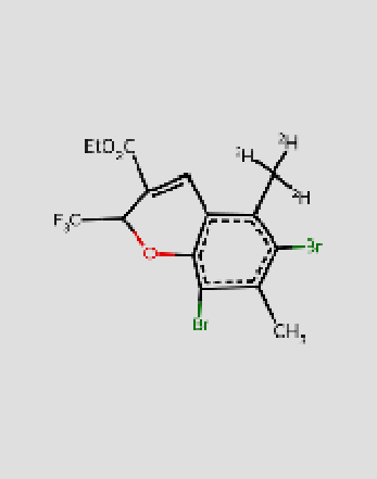 [2H]C([2H])([2H])c1c(Br)c(C)c(Br)c2c1C=C(C(=O)OCC)C(C(F)(F)F)O2